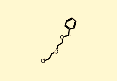 ClCCOCCO[CH]c1ccccc1